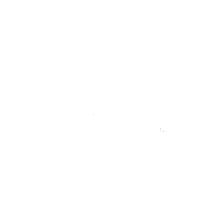 O=C(O)OCSc1nc2ccccc2o1